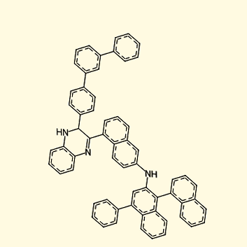 c1ccc(-c2cccc(-c3ccc(C4Nc5ccccc5N=C4c4cccc5cc(Nc6cc(-c7ccccc7)c7ccccc7c6-c6cccc7ccccc67)ccc45)cc3)c2)cc1